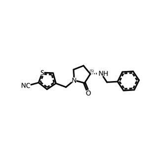 N#Cc1cc(CN2CC[C@H](NCc3ccccc3)C2=O)cs1